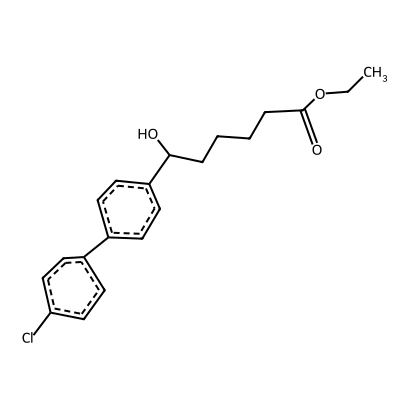 CCOC(=O)CCCCC(O)c1ccc(-c2ccc(Cl)cc2)cc1